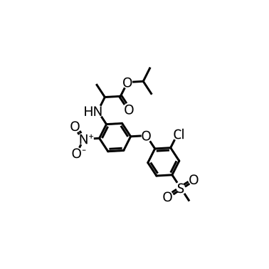 CC(C)OC(=O)C(C)Nc1cc(Oc2ccc(S(C)(=O)=O)cc2Cl)ccc1[N+](=O)[O-]